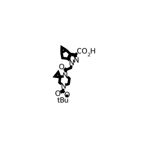 CC(C)(C)OC(=O)N1CCN(C(=O)Cn2nc(C(=O)O)c3c2CC2CC32)C2(CC2)C1